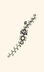 CCCCCCCCCCOc1ccc(-c2ncc(CCC(F)CCCCCC)cn2)cc1